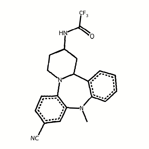 CN1c2ccccc2C2CC(NC(=O)C(F)(F)F)CCN2c2ccc(C#N)cc21